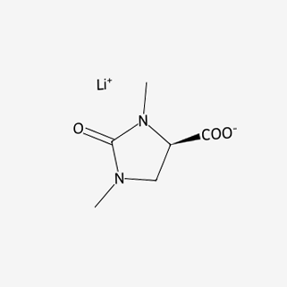 CN1C[C@H](C(=O)[O-])N(C)C1=O.[Li+]